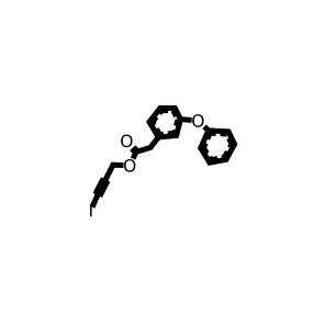 O=C(Cc1cccc(Oc2ccccc2)c1)OCC#CI